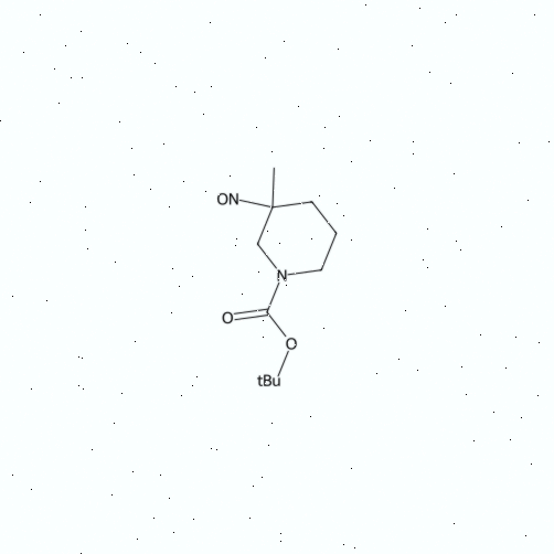 CC1(N=O)CCCN(C(=O)OC(C)(C)C)C1